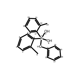 Cc1ccccc1P(O)(O)(Oc1ccccc1)c1ccccc1C